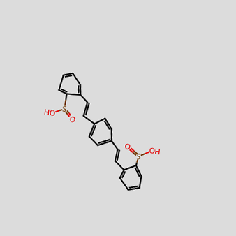 O=S(O)c1ccccc1C=Cc1ccc(C=Cc2ccccc2S(=O)O)cc1